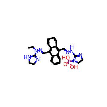 CCN(N=Cc1c2ccccc2c(C=NNC2=NCCN2P(=O)(O)O)c2ccccc12)C1=NCCN1